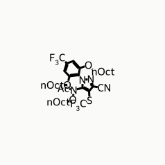 CCCCCCCCOc1cc(C(F)(F)F)cc(OCCCCCCCC)c1-n1nc(C#N)c(SC(F)(F)F)c1N(OCCCCCCCC)C(C)=O